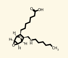 CCCCCCNC[C@@H]1[C@H](CCCCCCC(=O)O)[C@H]2O[C@@H]1[C@H]1O[C@H]12